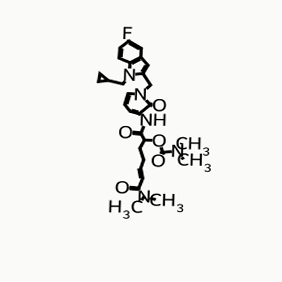 CN(C)C(=O)C=CCCC(OC(=O)N(C)C)C(=O)Nc1cccn(Cc2cc3cc(F)ccc3n2CC2CC2)c1=O